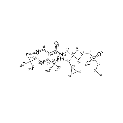 CCCS(=O)(=O)C[C@H]1C[C@](CNC(=O)c2cnc(C(F)(F)F)nc2C(F)(F)F)(CC2CC2)C1